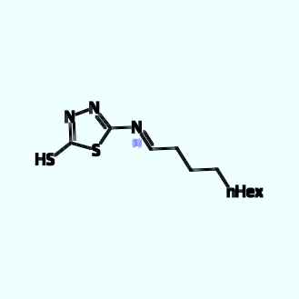 CCCCCCCCC/C=N/c1nnc(S)s1